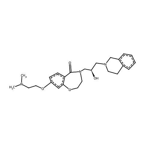 CN(C)CCOc1ccc2c(c1)OCCN(C[C@H](O)CN1CCc3ccccc3C1)C2=O